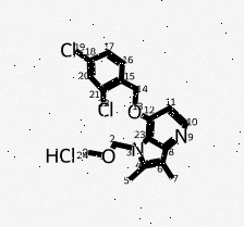 COCn1c(C)c(C)c2nccc(OCc3ccc(Cl)cc3Cl)c21.Cl